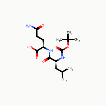 CC(C)C[C@H](NC(=O)OC(C)(C)C)C(=O)N[C@H](CCC(N)=O)C(=O)O